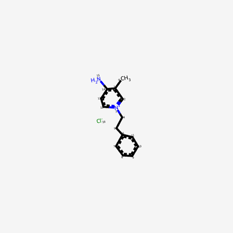 Cc1c[n+](CCc2ccccc2)ccc1N.[Cl-]